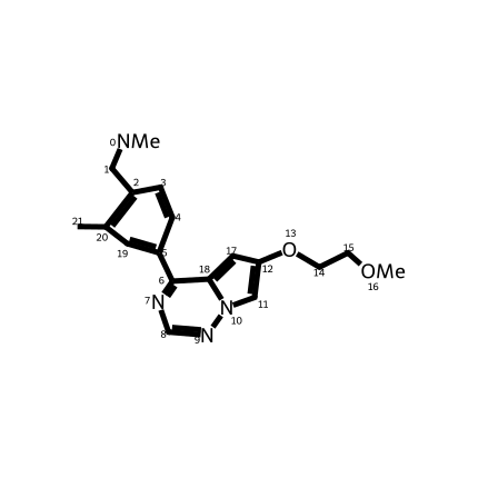 CNCc1ccc(-c2ncnn3cc(OCCOC)cc23)cc1C